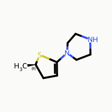 C[C@@H]1CC=C(N2CCNCC2)S1